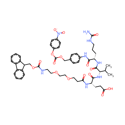 CC(C)[C@H](NC(=O)[C@H](CCC(=O)O)NC(=O)CCOCCOCCNC(=O)OCC1c2ccccc2-c2ccccc21)C(=O)N[C@@H](CCCNC(N)=O)C(=O)Nc1ccc(COC(=O)Oc2ccc([N+](=O)[O-])cc2)cc1